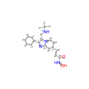 CC(C)(C)NCc1c(-c2ccccc2)nc2cc(C=CC(=O)NO)ccn12